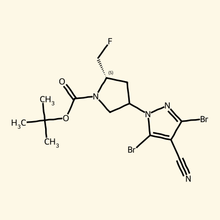 CC(C)(C)OC(=O)N1CC(n2nc(Br)c(C#N)c2Br)C[C@H]1CF